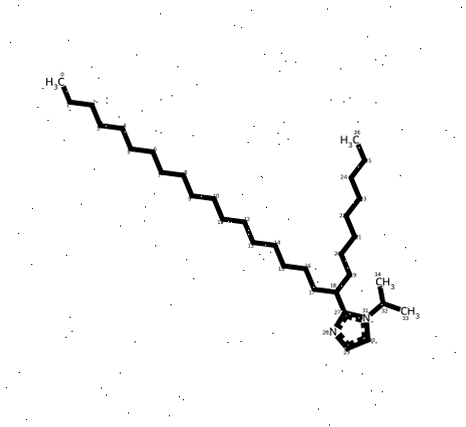 CCCCCCCCCCCCCCCCCCC(CCCCCCCC)c1nccn1C(C)C